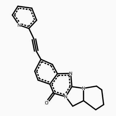 O=c1c2ccc(C#Cc3ccccn3)cc2nc2n1CC1CCCCN21